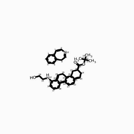 C1=Cc2ccccc2CC=N1.CC(C)(C)OC(=O)C1CC=c2ccc3c(c2C1)CC=c1c(NCCO)cccc1=3